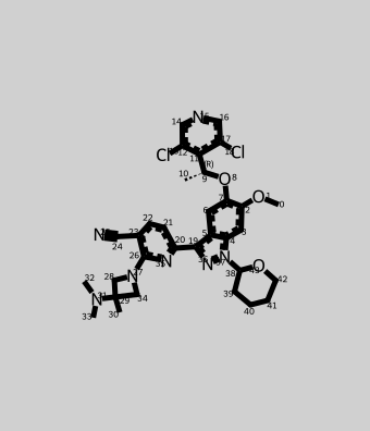 COc1cc2c(cc1O[C@H](C)c1c(Cl)cncc1Cl)c(-c1ccc(C#N)c(N3CC(C)(N(C)C)C3)n1)nn2C1CCCCO1